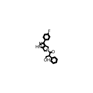 O=C(C(CO)c1ccccc1)N1Cc2[nH]nc(-c3ccc(F)cc3)c2C1